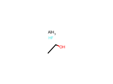 CCO.F.[AlH3]